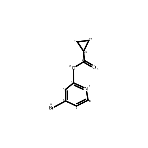 O=C(Oc1cc(Br)ccn1)C1CC1